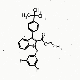 CCOC(=O)c1c(-c2ccc(C(C)(C)C)cc2)c2ccccc2n1Cc1cc(F)cc(F)c1